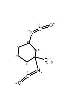 CC1(N=C=O)CCCC(N=C=O)C1